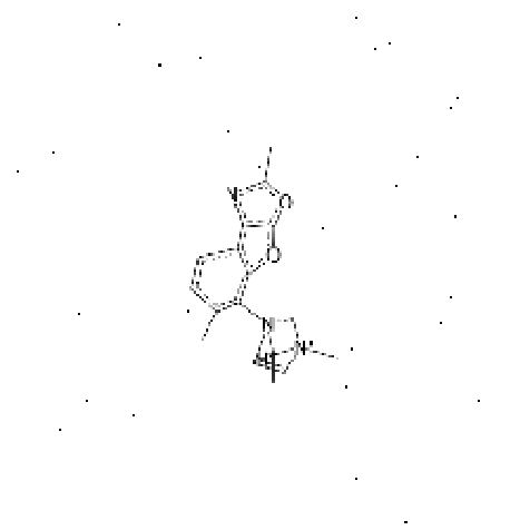 Cc1nc2c(o1)oc1c([N+]34C=C[N+](C)(C3)[C@@H]4C)c(C)ccc12